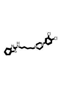 Clc1ccc(N2CCN(CCCCCNc3nc4ccccc4s3)CC2)cc1Cl